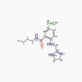 CCCCNC(=O)c1cc(F)ccc1NCC1=NCCN1.Cl